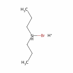 CCC[SiH](Br)CCC.[H+]